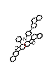 c1ccc(N(c2ccc(-c3ccc4c(ccc5ccccc54)c3)cc2)c2cccc3oc4c5ccccc5ccc4c23)c(-c2cccc3c2oc2cc4ccccc4cc23)c1